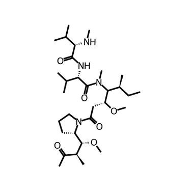 CC[C@H](C)C([C@@H](CC(=O)N1CCC[C@H]1[C@H](OC)[C@@H](C)C(C)=O)OC)N(C)C(=O)[C@@H](NC(=O)[C@@H](NC)C(C)C)C(C)C